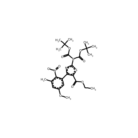 CCOC(=O)c1sc(N(C(=O)OC(C)(C)C)C(=O)OC(C)(C)C)nc1-c1cc(OC)cc(C)c1[N+](=O)[O-]